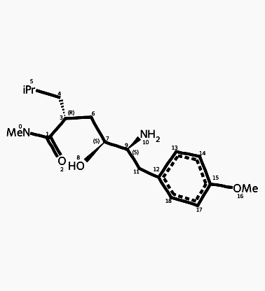 CNC(=O)[C@H](CC(C)C)C[C@H](O)[C@@H](N)Cc1ccc(OC)cc1